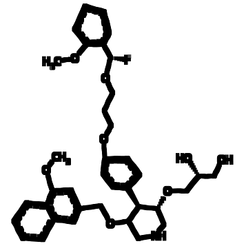 COc1ccccc1[C@H](F)OCCCOc1ccc([C@@H]2C(OCc3cc(OC)c4ccccc4c3)CNC[C@H]2OC[C@H](O)CO)cc1